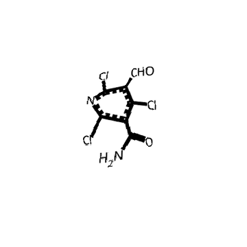 NC(=O)c1c(Cl)nc(Cl)c(C=O)c1Cl